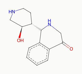 O=C1CNC([C@H]2CCNC[C@@H]2O)c2ccccc21